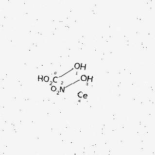 O=C(O)O.O=[N+]([O-])O.[Ce]